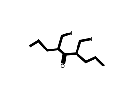 CCCC(CI)C(=O)C(CI)CCC